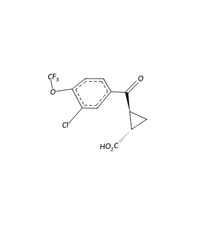 O=C(O)[C@H]1C[C@@H]1C(=O)c1ccc(OC(F)(F)F)c(Cl)c1